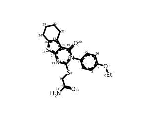 CCOc1ccc(-n2c(SCC(N)=O)nc3sc4c(c3c2=O)CCCC4)cc1